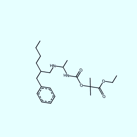 CCCCC(CNC(C)NC(=O)OC(C)(C)C(=O)OCC)Cc1ccccc1